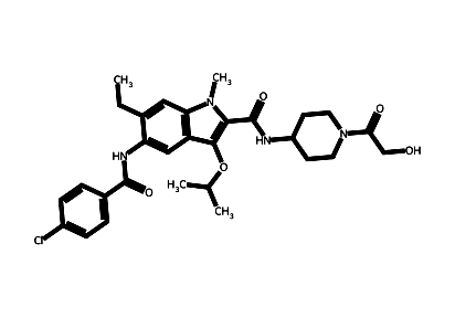 CCc1cc2c(cc1NC(=O)c1ccc(Cl)cc1)c(OC(C)C)c(C(=O)NC1CCN(C(=O)CO)CC1)n2C